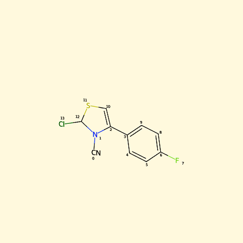 N#CN1C(c2ccc(F)cc2)=CSC1Cl